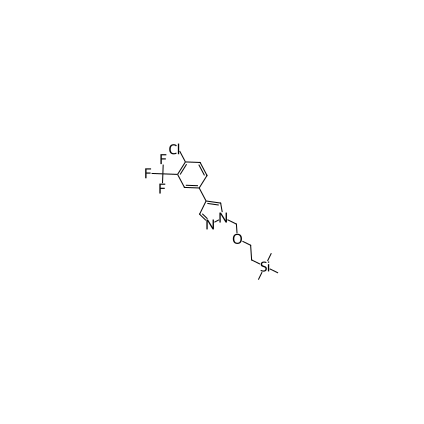 C[Si](C)(C)CCOCn1cc(-c2ccc(Cl)c(C(F)(F)F)c2)cn1